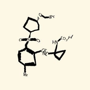 CC(C)O[C@H]1CC[C@H](S(=O)(=O)c2ccc(Br)cc2C(F)(F)F)C1.N#CC1(NC(=O)O)CC1